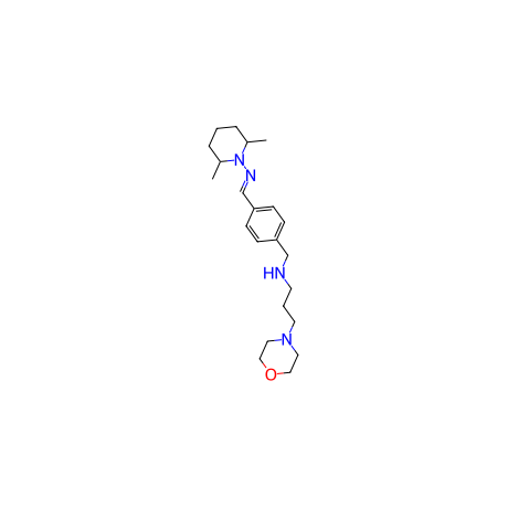 CC1CCCC(C)N1N=Cc1ccc(CNCCCN2CCOCC2)cc1